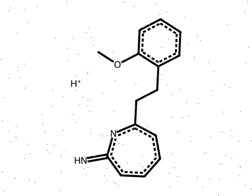 COc1ccccc1CCc1ccccc(=N)n1.[H+]